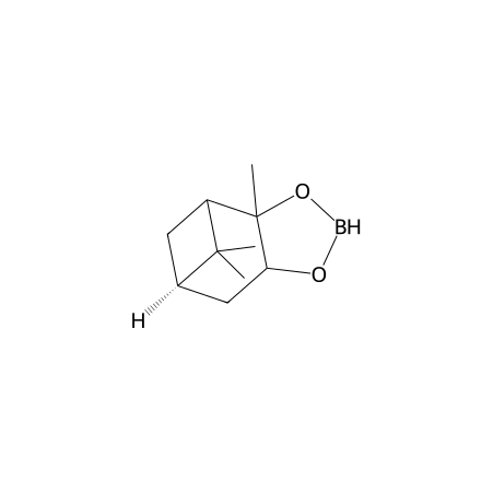 CC12OBOC1C[C@H]1CC2C1(C)C